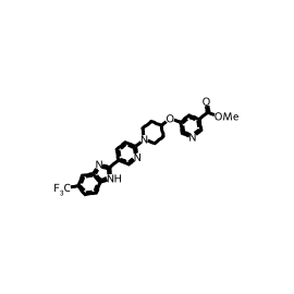 COC(=O)c1cncc(OC2CCN(c3ccc(-c4nc5cc(C(F)(F)F)ccc5[nH]4)cn3)CC2)c1